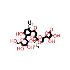 Cc1cc(O)c(C2O[C@H](CO)[C@@H](O)[C@H](O)[C@H]2O)c2oc(C3(C)OCC(C4OC(=O)C(O)=C4O)O3)cc(=O)c12